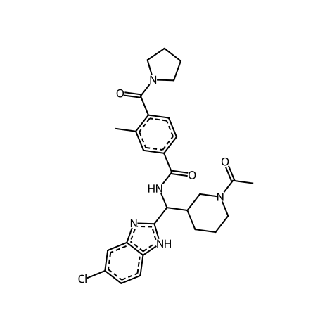 CC(=O)N1CCCC(C(NC(=O)c2ccc(C(=O)N3CCCC3)c(C)c2)c2nc3cc(Cl)ccc3[nH]2)C1